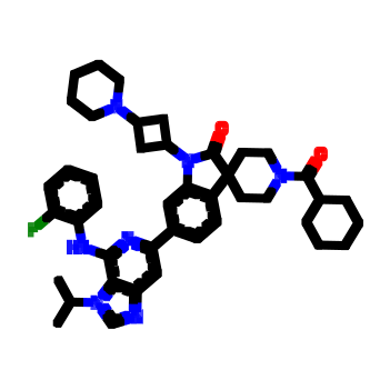 CC(C)n1cnc2cc(-c3ccc4c(c3)N(C3CC(N5CCCCC5)C3)C(=O)C43CCN(C(=O)C4CCCCC4)CC3)nc(Nc3ccccc3F)c21